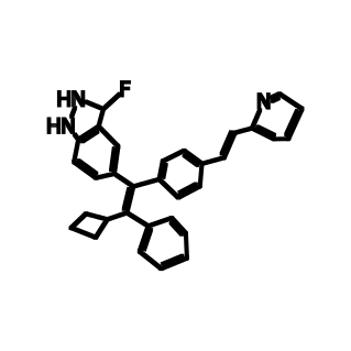 FC1NNc2ccc(/C(=C(/c3ccccc3)C3CCC3)c3ccc(/C=C/c4ccccn4)cc3)cc21